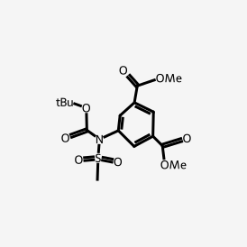 COC(=O)c1cc(C(=O)OC)cc(N(C(=O)OC(C)(C)C)S(C)(=O)=O)c1